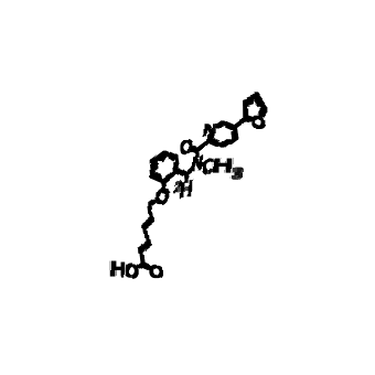 [2H]C(c1ccccc1OCCCCCC(=O)O)N(C)C(=O)c1ccc(-c2ccco2)cn1